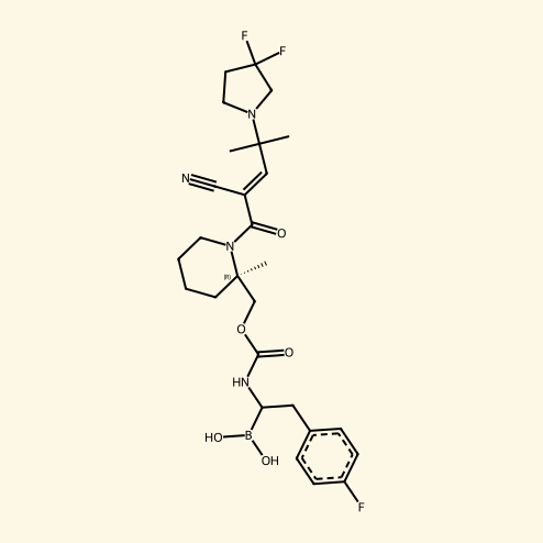 CC(C)(C=C(C#N)C(=O)N1CCCC[C@]1(C)COC(=O)NC(Cc1ccc(F)cc1)B(O)O)N1CCC(F)(F)C1